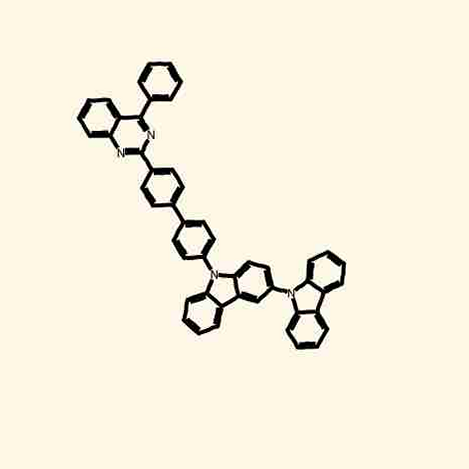 c1ccc(-c2nc(-c3ccc(-c4ccc(-n5c6ccccc6c6cc(-n7c8ccccc8c8ccccc87)ccc65)cc4)cc3)nc3ccccc23)cc1